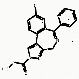 CNC(=O)n1cc2c(n1)CN=C(c1ccccc1)c1cc(Cl)ccc1-2